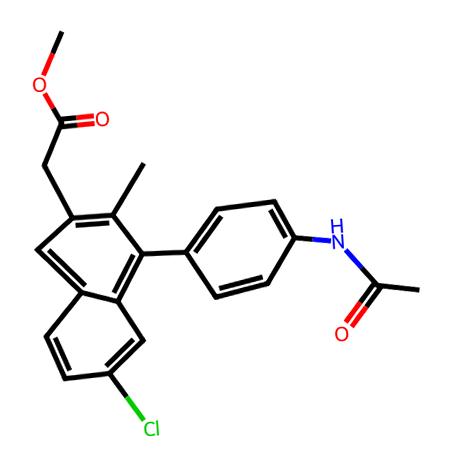 COC(=O)Cc1cc2ccc(Cl)cc2c(-c2ccc(NC(C)=O)cc2)c1C